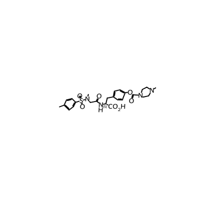 Cc1ccc(S(=O)(=O)N(C)CC(=O)N[C@@H](Cc2ccc(OC(=O)N3CCN(C)CC3)cc2)C(=O)O)cc1